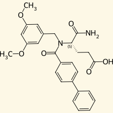 COc1cc(CN(C(=O)c2ccc(-c3ccccc3)cc2)[C@@H](CCC(=O)O)C(N)=O)cc(OC)c1